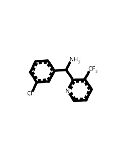 NC(c1cccc(Cl)c1)c1ncccc1C(F)(F)F